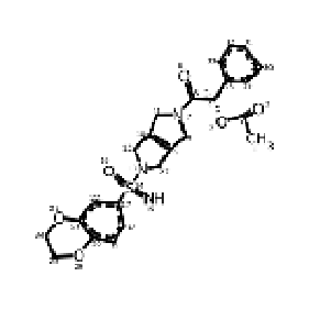 CC(=O)O[C@H](C(=O)N1CC2=C(C1)CN(S(=N)(=O)c1ccc3c(c1)OCCO3)C2)c1ccccc1